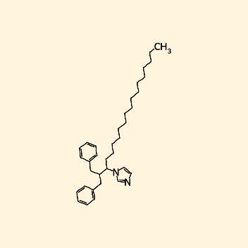 CCCCCCCCCCCCCCCCC(C(Cc1ccccc1)Cc1ccccc1)n1ccnc1